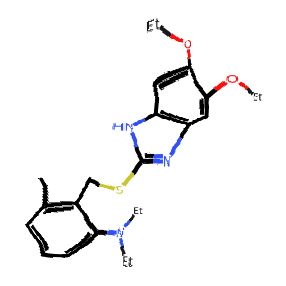 CCOc1cc2nc(SCc3c(C)cccc3N(CC)CC)[nH]c2cc1OCC